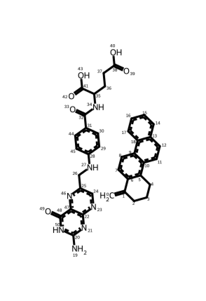 C=C1CCCc2c1ccc1c2ccc2ccccc21.Nc1nc2ncc(CNc3ccc(C(=O)NC(CCC(=O)O)C(=O)O)cc3)nc2c(=O)[nH]1